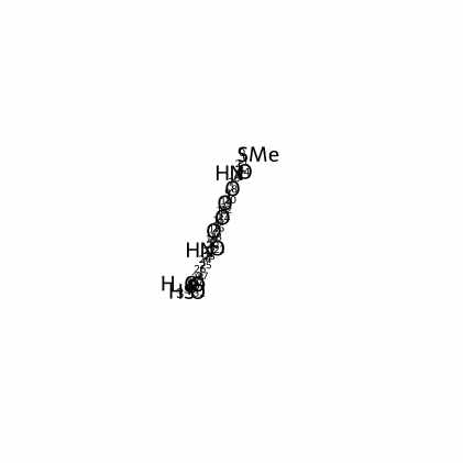 CSCCC(=O)NCCOCCOCCOCCOCCC(=O)NCCCCCCOP(C)(=O)S